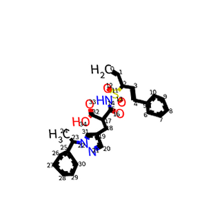 C=CC(C=Cc1ccccc1)S(=O)(=O)NC(=O)C(Cc1cnn(C(C)c2ccccc2)c1)C(=O)O